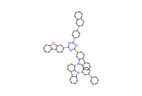 c1ccc(-c2cccc(-n3c4ccccc4c4cccc(-n5c6ccccc6c6ccc(-c7nc(-c8ccc(-c9ccc%10ccccc%10c9)cc8)nc(-c8ccc9c(c8)oc8ccccc89)n7)cc65)c43)c2)cc1